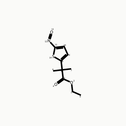 CCOC(=O)C(C)(C)c1ccc(N=O)s1